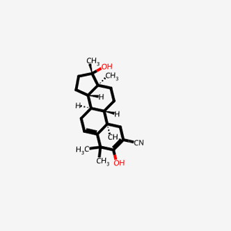 CC1(C)C2=CC[C@@H]3[C@H](CC[C@@]4(C)[C@H]3CC[C@]4(C)O)[C@@]2(C)CC(C#N)=C1O